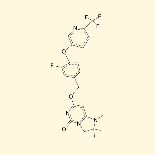 CN1c2cc(OCc3ccc(Oc4ccc(C(F)(F)F)nc4)c(F)c3)nc(=O)n2CC1(C)C